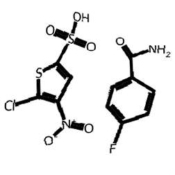 NC(=O)c1ccc(F)cc1.O=[N+]([O-])c1cc(S(=O)(=O)O)sc1Cl